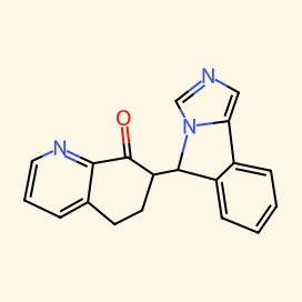 O=C1c2ncccc2CCC1C1c2ccccc2-c2cncn21